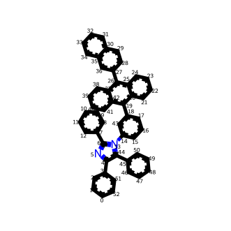 c1ccc(-c2nc(-c3ccccc3)n(-c3cccc(-c4c5ccccc5c(-c5ccc6ccccc6c5)c5ccccc45)c3)c2-c2ccccc2)cc1